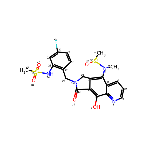 CN(c1c2c(c(O)c3ncccc13)C(=O)N(Cc1ccc(F)cc1NS(C)(=O)=O)C2)[S+](C)[O-]